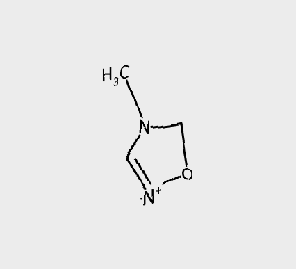 CN1C=[N+]OC1